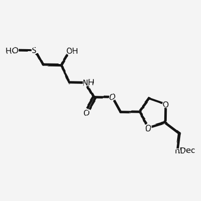 CCCCCCCCCCCC1OCC(COC(=O)NCC(O)CSO)O1